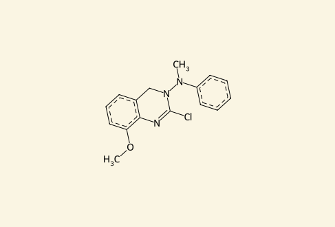 COc1cccc2c1N=C(Cl)N(N(C)c1ccccc1)C2